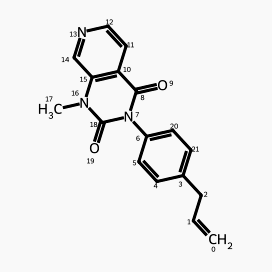 C=CCc1ccc(-n2c(=O)c3ccncc3n(C)c2=O)cc1